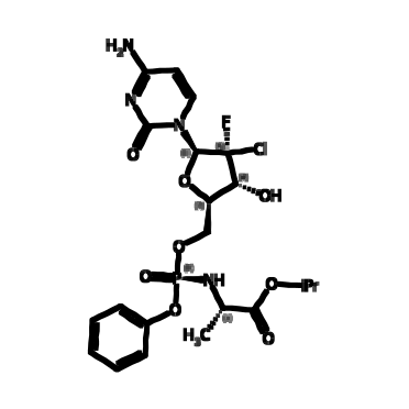 CC(C)OC(=O)[C@H](C)N[P@@](=O)(OC[C@H]1O[C@@H](n2ccc(N)nc2=O)[C@@](F)(Cl)[C@@H]1O)Oc1ccccc1